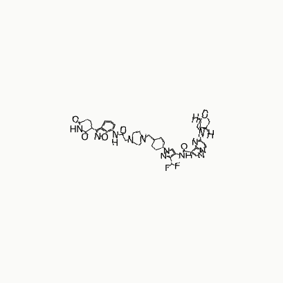 O=C1CCC(c2noc3c(NC(=O)CN4CCN(CC5CCC(n6cc(NC(=O)c7cnn8ccc(N9C[C@H]%10C[C@@H]9CO%10)nc78)c(C(F)F)n6)CC5)CC4)cccc23)C(=O)N1